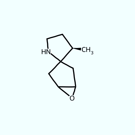 C[C@@H]1CCNC12CC1OC1C2